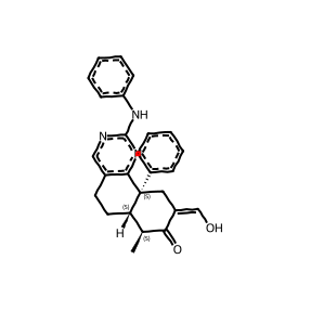 C[C@@H]1C(=O)C(=CO)C[C@]2(c3ccccc3)c3nc(Nc4ccccc4)ncc3CC[C@@H]12